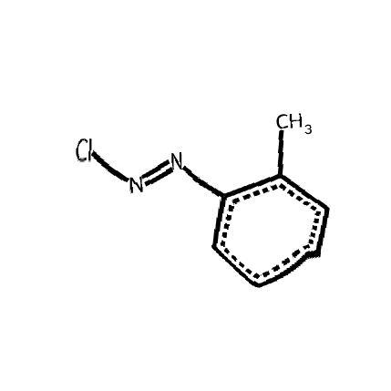 Cc1ccccc1/N=N/Cl